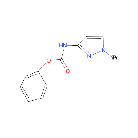 CC(C)n1ccc(NC(=O)Oc2ccccc2)n1